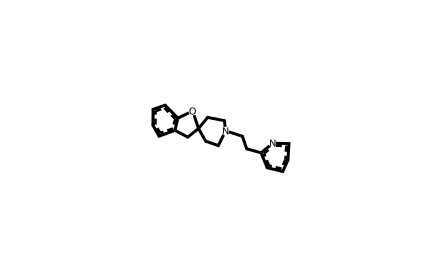 c1ccc(CCN2CCC3(CC2)Cc2ccccc2O3)nc1